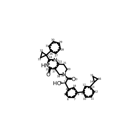 O=C([C@H](O)c1cccc(-c2cccc(C3CC3)c2)c1)N1CCc2nc(C3(c4ccccc4)CC3)[nH]c(=O)c2C1